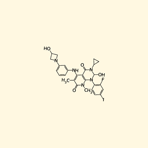 Cc1c(Nc2cccc(N3CC(O)C3)c2)c2c(n(C)c1=O)N(c1ccc(I)cc1F)C(O)N(C1CC1)C2=O